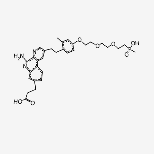 Cc1cc(OCCOCCOCCP(C)(=O)O)ccc1CCc1cnc2c(N)nc3cc(CCC(=O)O)ccc3c2c1